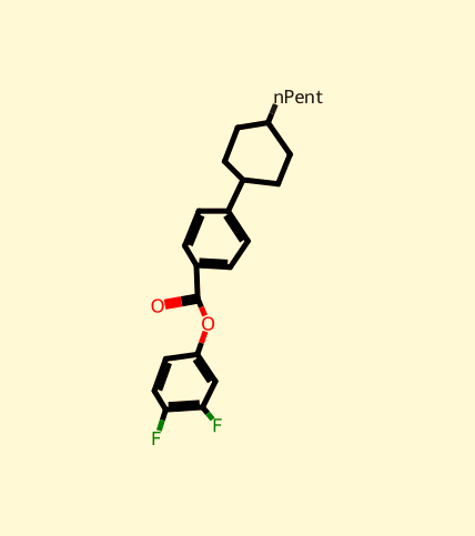 CCCCCC1CCC(c2ccc(C(=O)Oc3ccc(F)c(F)c3)cc2)CC1